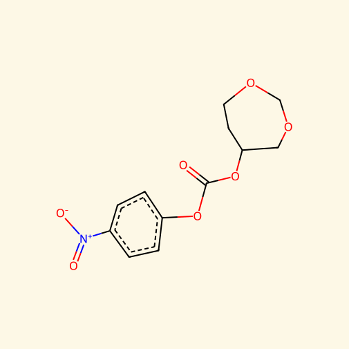 O=C(Oc1ccc([N+](=O)[O-])cc1)OC1CCOCOC1